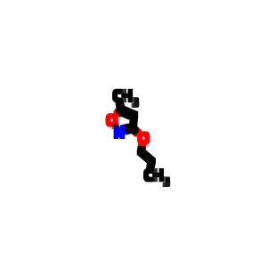 CCCOc1cc(C)on1